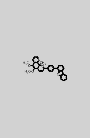 COC1=C(OC)C2C=CC(c3ccc(-c4cccc5c4oc4ccccc45)cc3)=NC2(C)c2ncccc21